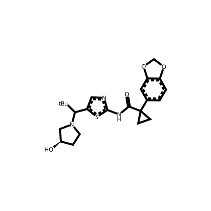 CC(C)(C)C(c1cnc(NC(=O)C2(c3ccc4c(c3)OCO4)CC2)s1)N1CC[C@@H](O)C1